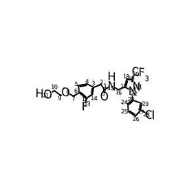 O=C(Cc1ccc(COCCO)c(F)c1)NCc1cc(C(F)(F)F)nn1-c1cccc(Cl)c1